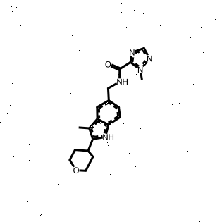 Cc1c(C2CCOCC2)[nH]c2ccc(CNC(=O)c3ncnn3C)cc12